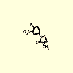 Cn1nnn(-c2ccc(F)c([N+](=O)[O-])c2)c1=O